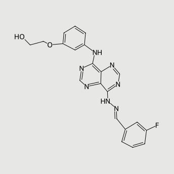 OCCOc1cccc(Nc2ncnc3c(N/N=C/c4cccc(F)c4)ncnc23)c1